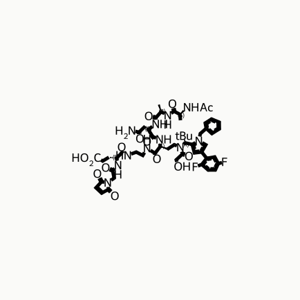 CC(=O)N[C@@H](C)C(=O)N[C@H](C)C(=O)N[C@@H](CC(N)=O)C(=O)N[C@@H](CCN(C(=O)CO)[C@@H](c1cc(-c2cc(F)ccc2F)cn1Cc1ccccc1)C(C)(C)C)C(=O)NCCNC(=O)[C@@H](CCC(=O)O)NC(=O)CN1C(=O)C=CC1=O